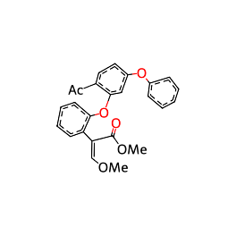 COC=C(C(=O)OC)c1ccccc1Oc1cc(Oc2ccccc2)ccc1C(C)=O